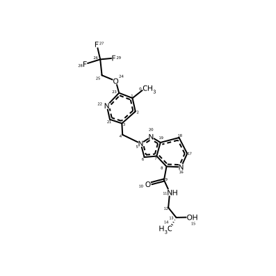 Cc1cc(Cn2cc3c(C(=O)NC[C@@H](C)O)nccc3n2)cnc1OCC(F)(F)F